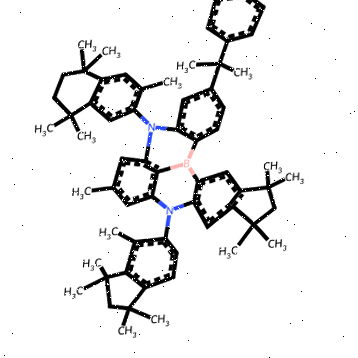 Cc1cc2c3c(c1)N(c1ccc4c(c1C)C(C)(C)CC4(C)C)c1cc4c(cc1B3c1ccc(C(C)(C)c3ccccc3)cc1N2c1cc2c(cc1C)C(C)(C)CCC2(C)C)C(C)(C)CC4(C)C